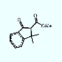 COC(=O)C1C(=O)c2ccccc2C1(C)C